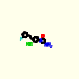 Cl.NC1CC(=O)N(c2ccc(C=Cc3cccc(F)c3)cc2)C1